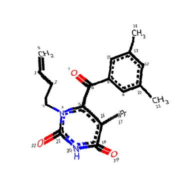 C=CCCn1c(C(=O)c2cc(C)cc(C)c2)c(C(C)C)c(=O)[nH]c1=O